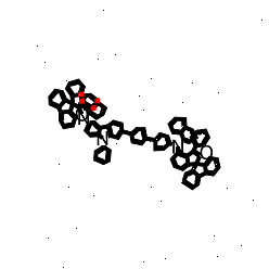 c1ccc(N(c2ccc3c(c2)c2ccc(-c4ccc(-c5ccc(N(c6cccc7c6-c6c(oc8ccccc68)C76c7ccccc7-c7ccccc76)c6cccc7ccccc67)cc5)cc4)cc2n3-c2ccccc2)c2cccc3c2C2(c4ccccc4-3)c3ccccc3-c3c2oc2ccccc32)cc1